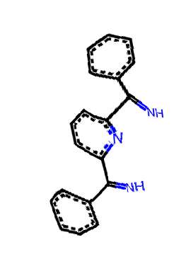 N=C(c1ccccc1)c1cccc(C(=N)c2ccccc2)n1